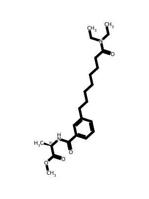 CCN(CC)C(=O)CCCCCCCc1cccc(C(=O)N[C@H](C)C(=O)OC)c1